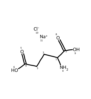 NC(CCC(=O)O)C(=O)O.[Cl-].[Na+]